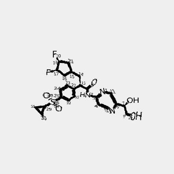 O=C(Nc1cnc([C@@H](O)CO)cn1)[C@H](CC1C[C@@H](F)[C@@H](F)C1)c1ccc(S(=O)(=O)C2CC2)cc1